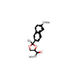 CCC1(c2ccc3cc(OC)ccc3c2)OCC(C(=O)OC)O1